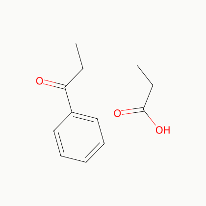 CCC(=O)O.CCC(=O)c1ccccc1